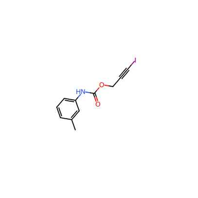 Cc1cccc(NC(=O)OCC#CI)c1